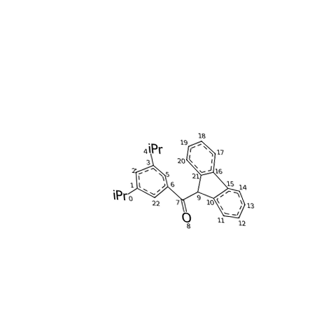 CC(C)c1[c]c(C(C)C)cc(C(=O)C2c3ccccc3-c3ccccc32)c1